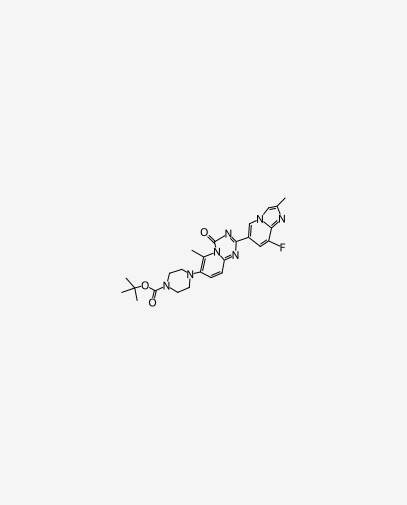 Cc1cn2cc(-c3nc(=O)n4c(C)c(N5CCN(C(=O)OC(C)(C)C)CC5)ccc4n3)cc(F)c2n1